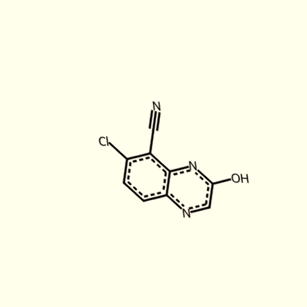 N#Cc1c(Cl)ccc2ncc(O)nc12